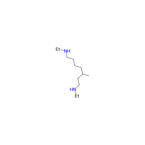 CCNCCCCC(C)CCNCC